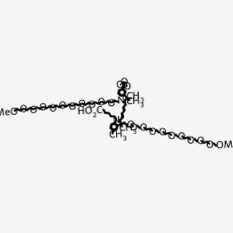 COCCOCCOCCOCCOCCOCCOCCOCCOCCOCCOCCN1C(=CC=CC=CC2=[N+](CCCCCC(=O)O)c3ccc(C)cc3C2(C)CCOOCCOCCOCCOCCOCCOCCOCCOCCOCCOC)C(C)(C)c2cc(S(=O)(=O)[O-])ccc21